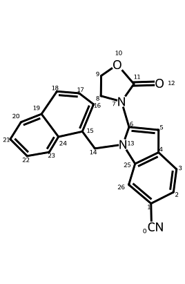 N#Cc1ccc2cc(N3CCOC3=O)n(Cc3cccc4ccccc34)c2c1